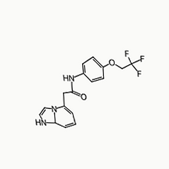 O=C(CC1=CC=CC2NC=CN12)Nc1ccc(OCC(F)(F)F)cc1